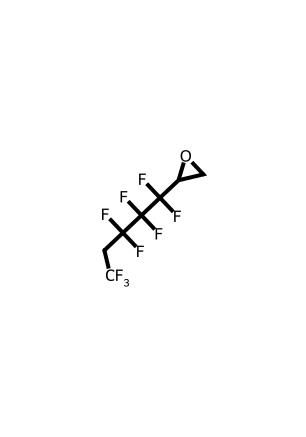 FC(F)(F)CC(F)(F)C(F)(F)C(F)(F)C1CO1